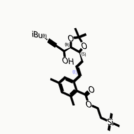 CC[C@@H](C)C#CC(O)[C@H]1OC(C)(C)O[C@H]1C/C=C/c1cc(C)cc(C)c1C(=O)OCC[Si](C)(C)C